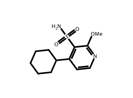 COc1nccc(C2CCCCC2)c1S(N)(=O)=O